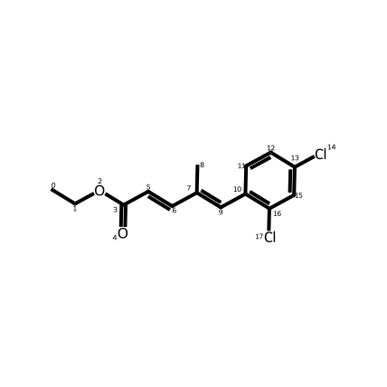 CCOC(=O)/C=C/C(C)=C/c1ccc(Cl)cc1Cl